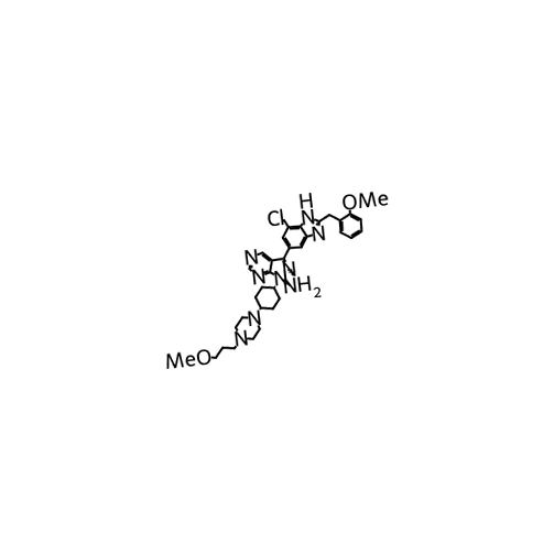 COCCCN1CCN([C@H]2CC[C@@H]([N+]3(N)N=C(c4cc(Cl)c5[nH]c(Cc6ccccc6OC)nc5c4)c4cncnc43)CC2)CC1